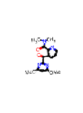 COc1cc(OC)nc(C(=O)c2cccnc2C(=O)N(C)C)n1